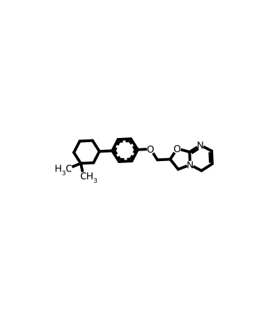 CC1(C)CCCC(c2ccc(OCC3CN4CC=CN=C4O3)cc2)C1